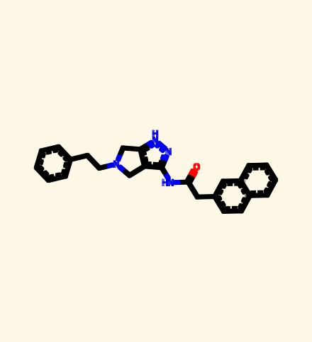 O=C(Cc1ccc2ccccc2c1)Nc1n[nH]c2c1CN(CCc1ccccc1)C2